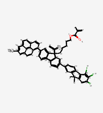 C=C(C)C(=O)OCCCCCC1(C(=C)CC)c2cc(-c3ccc4c(c3)C(C)(C)c3cc(F)c(F)c(F)c3-4)ccc2-c2ccc(-c3ccc4ccc5cc(C(C)(C)C)cc6ccc3c4c56)cc21